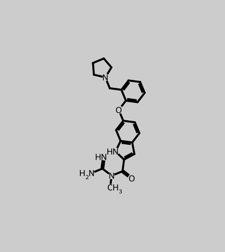 CN(C(=N)N)C(=O)c1cc2ccc(Oc3ccccc3CN3CCCC3)cc2[nH]1